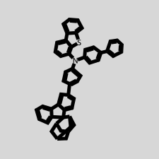 c1ccc(-c2ccc(N(c3ccc(-c4ccc5c(c4)-c4ccccc4C54C5CC6CC(C5)CC4C6)cc3)c3cccc4c3sc3ccccc34)cc2)cc1